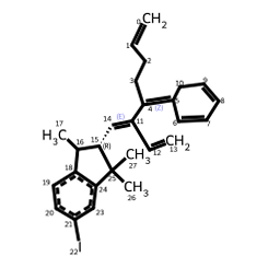 C=CCCC(=C1/C=CC=CC1)/C(C=C)=C/[C@H]1C(C)c2ccc(I)cc2C1(C)C